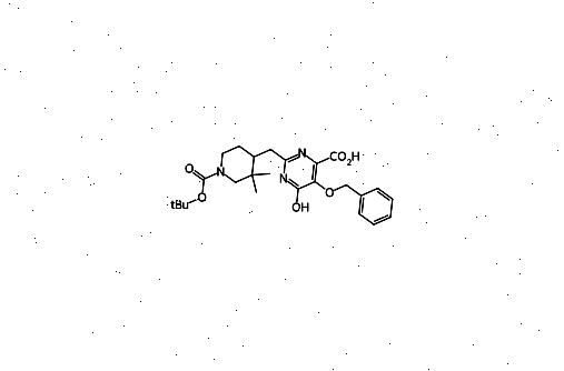 CC(C)(C)OC(=O)N1CCC(Cc2nc(O)c(OCc3ccccc3)c(C(=O)O)n2)C(C)(C)C1